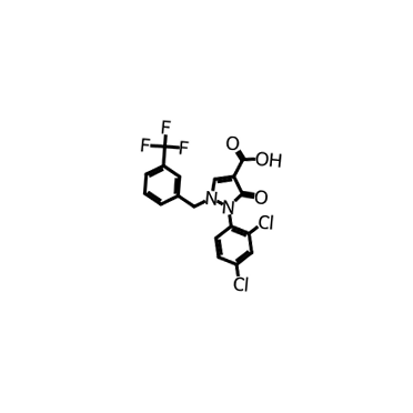 O=C(O)c1cn(Cc2cccc(C(F)(F)F)c2)n(-c2ccc(Cl)cc2Cl)c1=O